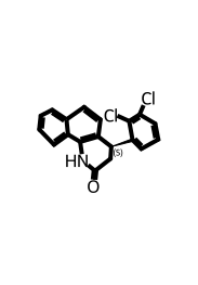 O=C1C[C@H](c2cccc(Cl)c2Cl)c2ccc3ccccc3c2N1